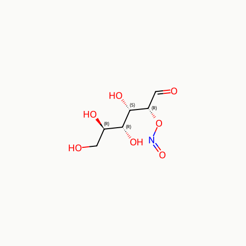 O=C[C@H](ON=O)[C@@H](O)[C@H](O)[C@H](O)CO